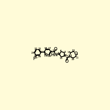 O=C(N[C@@H]1CC[C@H](C(=O)N2CCOCC2)C1)c1ccc(-c2cccc(F)c2)nc1